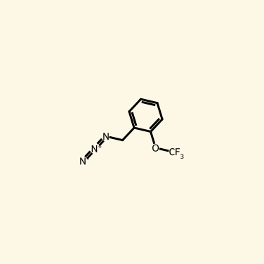 [N-]=[N+]=NCc1ccccc1OC(F)(F)F